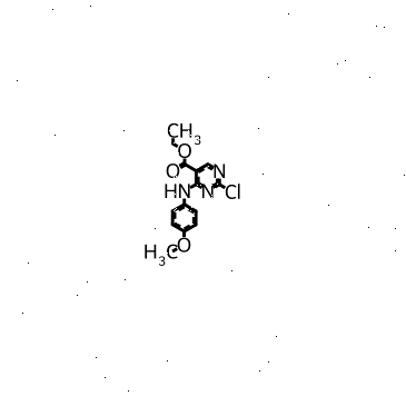 CCOC(=O)c1cnc(Cl)nc1Nc1ccc(OC)cc1